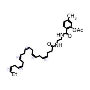 CC/C=C\C/C=C\C/C=C\C/C=C\C/C=C\C/C=C\CCC(=O)NCCNC(=O)c1ccc(C)cc1OC(C)=O